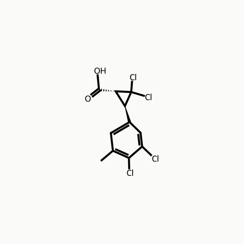 Cc1cc([C@H]2[C@H](C(=O)O)C2(Cl)Cl)cc(Cl)c1Cl